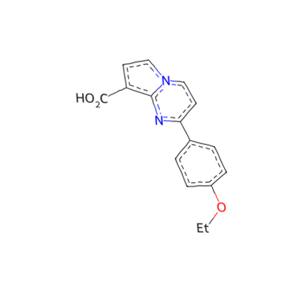 CCOc1ccc(-c2ccn3ccc(C(=O)O)c3n2)cc1